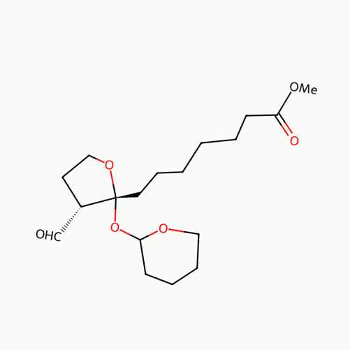 COC(=O)CCCCCC[C@]1(OC2CCCCO2)OCC[C@H]1C=O